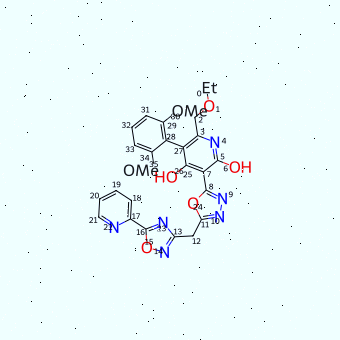 CCOCc1nc(O)c(-c2nnc(Cc3noc(-c4ccccn4)n3)o2)c(O)c1-c1c(OC)cccc1OC